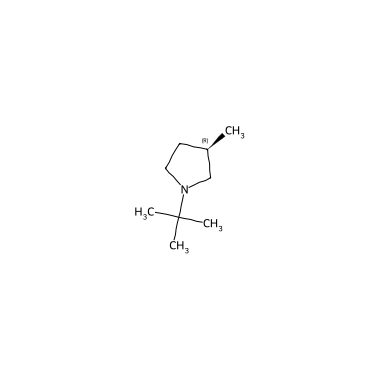 C[C@@H]1CCN(C(C)(C)C)C1